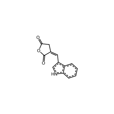 O=C1C/C(=C/c2c[nH]c3ccccc23)C(=O)O1